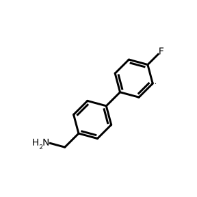 NCc1ccc(-c2c[c]c(F)cc2)cc1